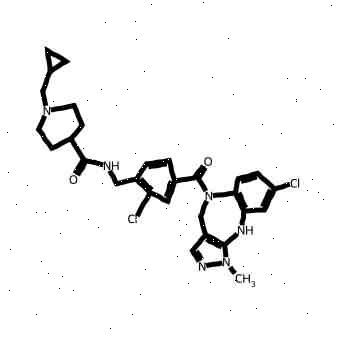 Cn1ncc2c1Nc1cc(Cl)ccc1N(C(=O)c1ccc(CNC(=O)C3CCN(CC4CC4)CC3)c(Cl)c1)C2